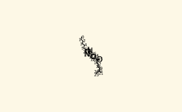 CCCCCCc1cnc(-c2ccc(C(=O)CCCCC(C)CC)cc2)nc1